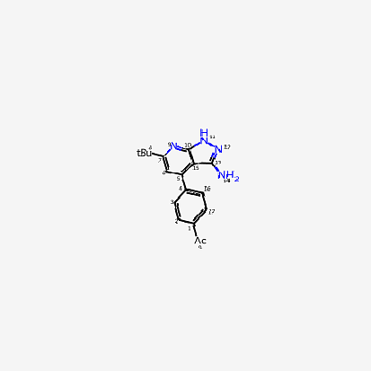 CC(=O)c1ccc(-c2cc(C(C)(C)C)nc3[nH]nc(N)c23)cc1